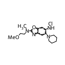 COCCN(C)c1nc2cc(N3CCCCC3)c(NCl)cc2o1